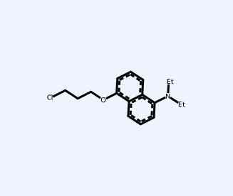 CCN(CC)c1cccc2c(OCCCCl)cccc12